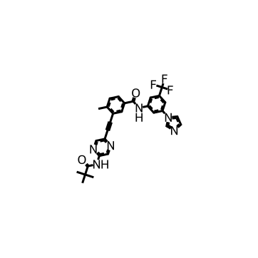 Cc1ccc(C(=O)Nc2cc(-n3ccnc3)cc(C(F)(F)F)c2)cc1C#Cc1cnc(NC(=O)C(C)(C)C)cn1